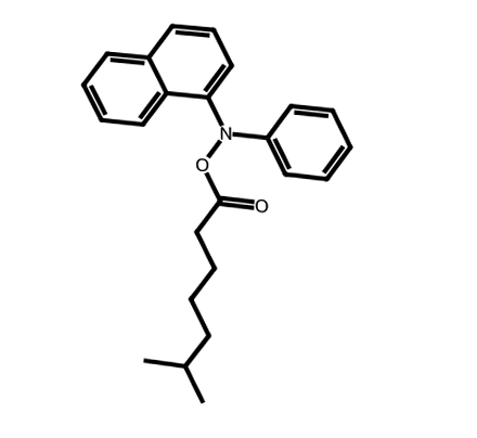 CC(C)CCCCC(=O)ON(c1ccccc1)c1cccc2ccccc12